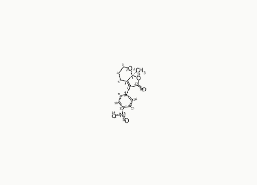 C[C@@]12OCCCC1=C(c1ccc([N+](=O)[O-])cc1)C(=O)O2